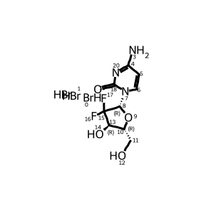 Br.Br.Br.Nc1ccn([C@@H]2O[C@H](CO)[C@@H](O)C2(F)F)c(=O)n1